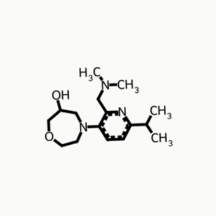 CC(C)c1ccc(N2CCOCC(O)C2)c(CN(C)C)n1